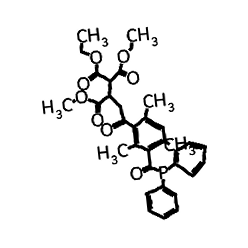 CCOC(=O)C(C(=O)OCC)C(CC(=O)c1c(C)cc(C)c(C(=O)P(c2ccccc2)c2ccccc2)c1C)C(=O)OC